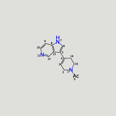 CC(=O)N1CC=C(c2c[nH]c3ccncc23)CC1